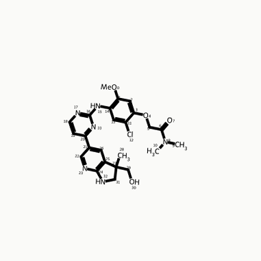 COc1cc(OCC(=O)N(C)C)c(Cl)cc1Nc1nccc(-c2cnc3c(c2)C(C)(CO)CN3)n1